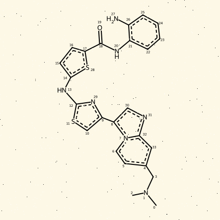 CN(C)Cc1ccn2c(-c3csc(Nc4ccc(C(=O)Nc5ccccc5N)s4)n3)cnc2c1